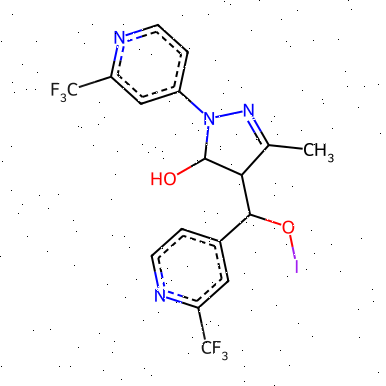 CC1=NN(c2ccnc(C(F)(F)F)c2)C(O)C1C(OI)c1ccnc(C(F)(F)F)c1